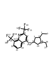 CCC1CC(Oc2cc(C(F)(F)F)nc3c(C(F)(F)F)cccc23)CN1CC